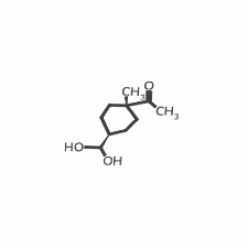 CC(=O)[C@]1(C)CC[C@@H](C(O)O)CC1